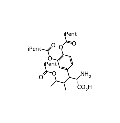 CCCC(C)C(=O)Oc1ccc(C(C(C)C(C)OC(=O)C(C)CCC)[C@H](N)C(=O)O)cc1OC(=O)C(C)CCC